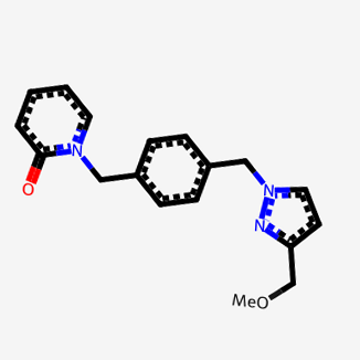 COCc1ccn(Cc2ccc(Cn3ccccc3=O)cc2)n1